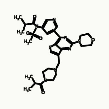 CC(C)C(=O)N1CCN(Cc2csc3c(-c4cncc(N(C(=O)C(C)C)S(C)(=O)=O)c4)nc(N4CCOCC4)nc23)CC1